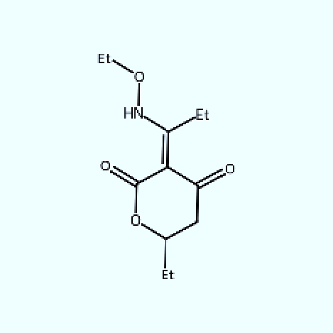 CCONC(CC)=C1C(=O)CC(CC)OC1=O